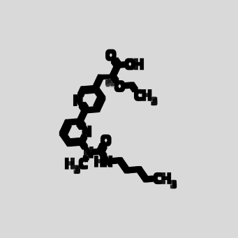 CCCCCNC(=O)N(C)c1cccc(-c2ccc(C[C@H](OCC)C(=O)O)cn2)n1